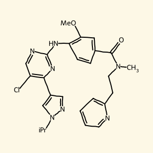 COc1cc(C(=O)N(C)CCc2ccccn2)ccc1Nc1ncc(Cl)c(-c2cnn(C(C)C)c2)n1